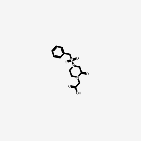 O=C(O)CN1CCN(S(=O)(=O)Cc2ccccc2)CC1=O